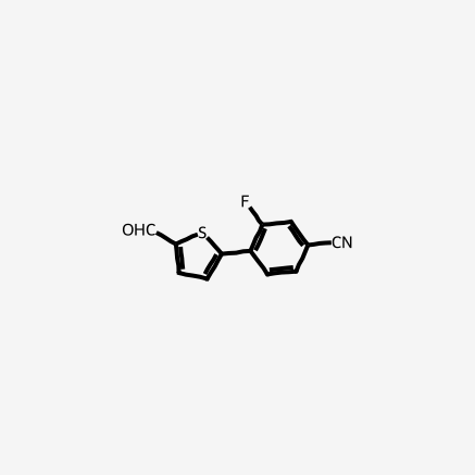 N#Cc1ccc(-c2ccc(C=O)s2)c(F)c1